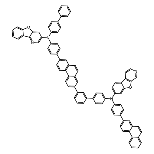 c1ccc(-c2ccc(N(c3ccc(-c4ccc5c(ccc6cc(-c7cccc(-c8ccc(N(c9ccc(-c%10ccc%11c(ccc%12ccccc%12%11)c%10)cc9)c9ccc%10c(c9)oc9cnccc9%10)cc8)c7)ccc65)c4)cc3)c3cnc4c(c3)oc3ccccc34)cc2)cc1